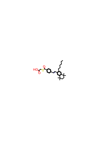 CCCCCCc1cc2c(cc1/C=C/c1ccc(C(=O)SCC(=O)O)cc1)C(C)(C)CCC2(C)C